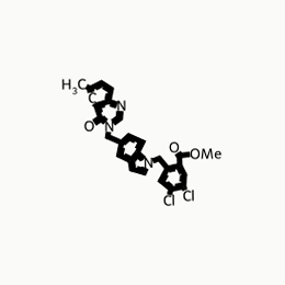 COC(=O)c1cc(Cl)c(Cl)cc1Cn1ccc2cc(Cn3cnc4ccc(C)cc4c3=O)ccc21